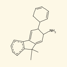 CC1(C)C2=CC(N)C(C3C=CC=CC3)C=C2c2ccccc21